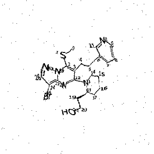 CSc1c(CCc2cccnc2)c(N2CCCC[C@H]2CCO)nc2c(Br)cnn12